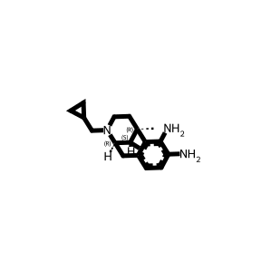 C[C@@H]1[C@H]2Cc3ccc(N)c(N)c3[C@]1(C)CCN2CC1CC1